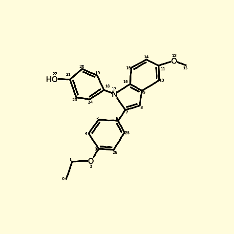 CCOc1ccc(-c2cc3cc(OC)ccc3n2-c2ccc(O)cc2)cc1